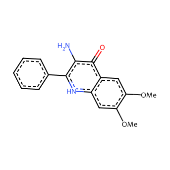 COc1cc2[nH]c(-c3ccccc3)c(N)c(=O)c2cc1OC